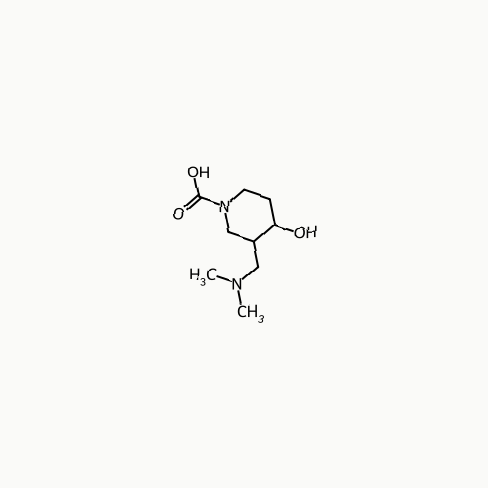 CN(C)CC1CN(C(=O)O)CCC1O